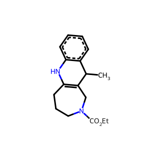 CCOC(=O)N1CCCC2=C(C1)C(C)c1ccccc1N2